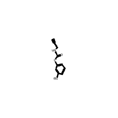 C#CCNC(=O)Sc1cccc(C(C)(C)C)c1